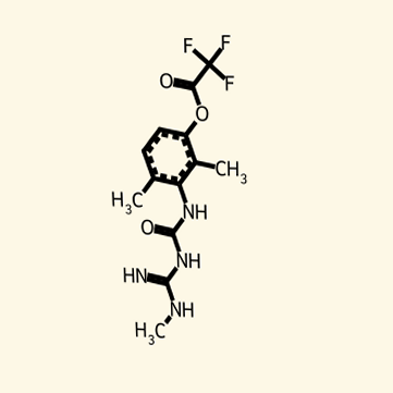 CNC(=N)NC(=O)Nc1c(C)ccc(OC(=O)C(F)(F)F)c1C